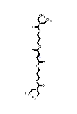 CCN(CC)C(=O)OCCCOC(=O)/C=C/C(=O)OCCCOC(=O)N(CC)CC